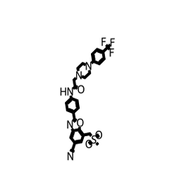 CS(=O)(=O)Cc1cc(C#N)cc2nc(-c3ccc(NC(=O)CN4CCN(c5ccc(C(F)(F)F)cc5)CC4)cc3)oc12